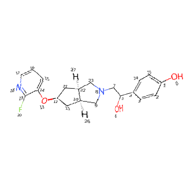 Oc1ccc(C(O)CN2C[C@H]3C[C@@H](Oc4cccnc4F)C[C@H]3C2)cc1